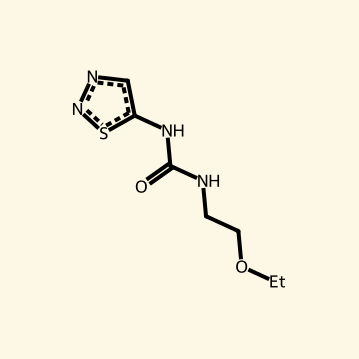 CCOCCNC(=O)Nc1cnns1